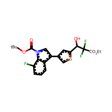 CCOC(=O)C(F)(F)C(O)c1cc(-c2cn(C(=O)OC(C)(C)C)c3c(F)cccc23)cs1